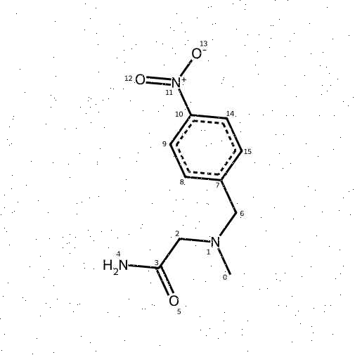 CN(CC(N)=O)Cc1ccc([N+](=O)[O-])cc1